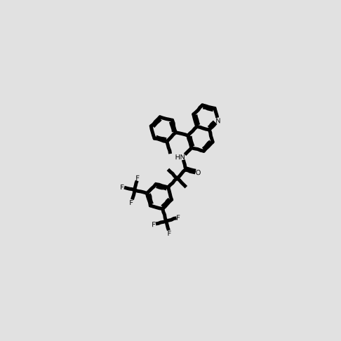 Cc1ccccc1-c1c(NC(=O)C(C)(C)c2cc(C(F)(F)F)cc(C(F)(F)F)c2)ccc2ncccc12